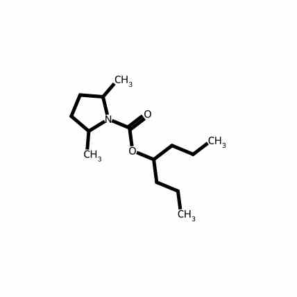 CCCC(CCC)OC(=O)N1C(C)CCC1C